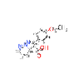 CCOc1ccc(-c2nn3ncccc3c2C(=O)O)cc1